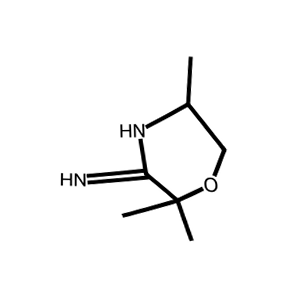 CC1COC(C)(C)C(=N)N1